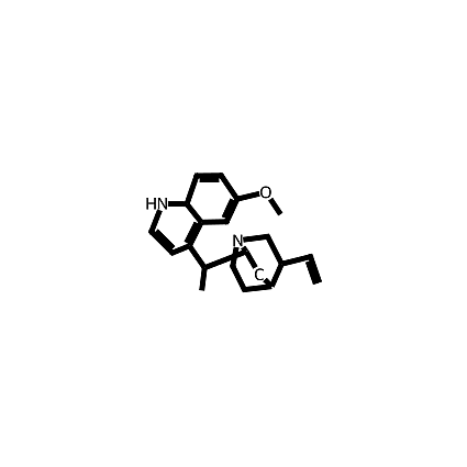 C=CC1CN2CCC1CC2C(C)C1=C2C=C(OC)C=CC2NC=C1